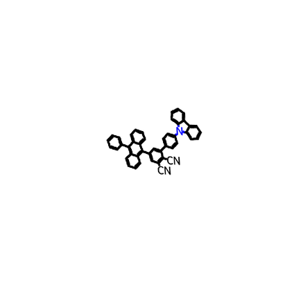 N#Cc1cc(-c2c3ccccc3c(-c3ccccc3)c3ccccc23)cc(-c2ccc(-n3c4ccccc4c4ccccc43)cc2)c1C#N